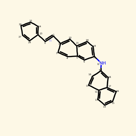 C(=C\c1ccc2cc(Nc3ccc4ccccc4c3)ccc2c1)/c1ccccc1